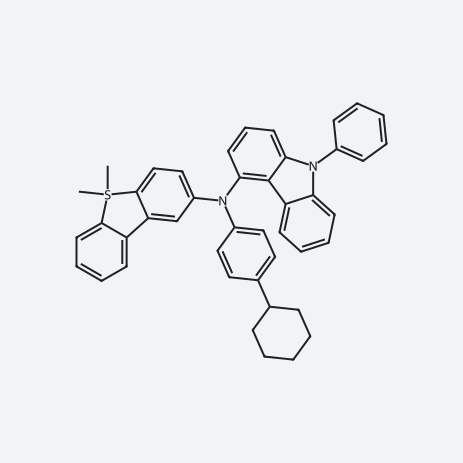 CS1(C)c2ccccc2-c2cc(N(c3ccc(C4CCCCC4)cc3)c3cccc4c3c3ccccc3n4-c3ccccc3)ccc21